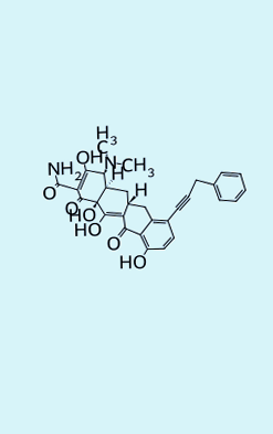 CN(C)[C@@H]1C(O)=C(C(N)=O)C(=O)[C@@]2(O)C(O)=C3C(=O)c4c(O)ccc(C#CCc5ccccc5)c4C[C@H]3C[C@H]12